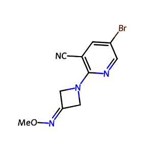 CON=C1CN(c2ncc(Br)cc2C#N)C1